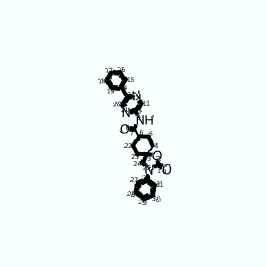 O=C1O[C@]2(CC[C@H](C(=O)Nc3cnc(-c4ccccc4)cn3)CC2)CN1c1ccccc1